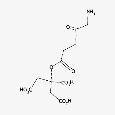 NCC(=O)CCC(=O)OC(CC(=O)O)(CC(=O)O)C(=O)O